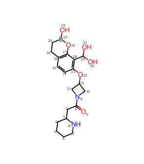 O=C(CC1CCCCN1)N1CC(Oc2ccc3c(c2C(O)O)OB(O)CC3)C1